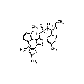 CCO[C@@H](c1ncc(C)cn1)[C@H](C)S(=O)(=O)Nc1nnc(-c2ccc(C)o2)n1-c1c(OC)cccc1OC